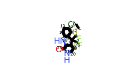 CCSCC1(C(F)(F)F)c2cc(Cl)ccc2Nc2c1cc[nH]c2=O